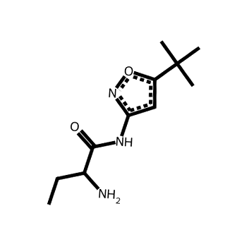 CCC(N)C(=O)Nc1cc(C(C)(C)C)on1